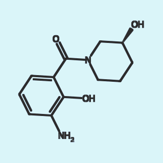 Nc1cccc(C(=O)N2CCC[C@H](O)C2)c1O